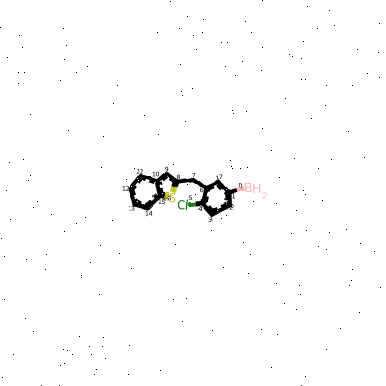 Bc1ccc(Cl)c(Cc2cc3ccccc3s2)c1